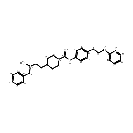 CN(CCC1CCN(C(=O)Oc2ccc(CCOc3ccccn3)cc2)CC1)Cc1ccccc1